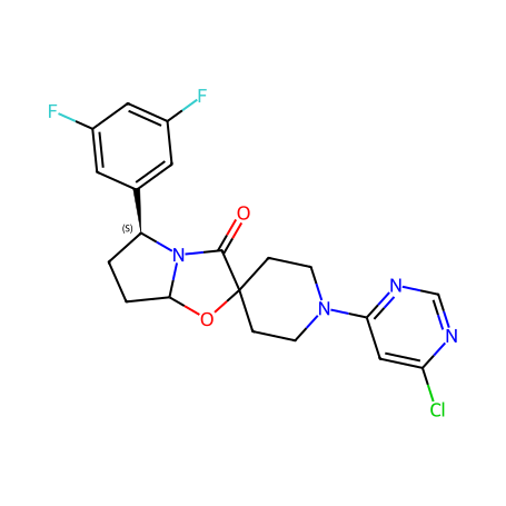 O=C1N2C(CC[C@H]2c2cc(F)cc(F)c2)OC12CCN(c1cc(Cl)ncn1)CC2